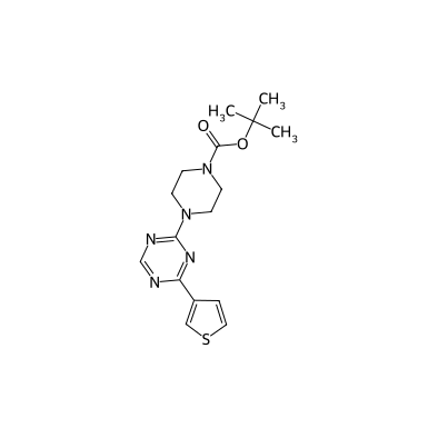 CC(C)(C)OC(=O)N1CCN(c2ncnc(-c3ccsc3)n2)CC1